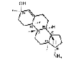 C[C@]12CC[C@H]3[C@@H](CCC4=C[C@](C)(O)CC[C@@]43C)[C@@H]1CC[C@@H]2N